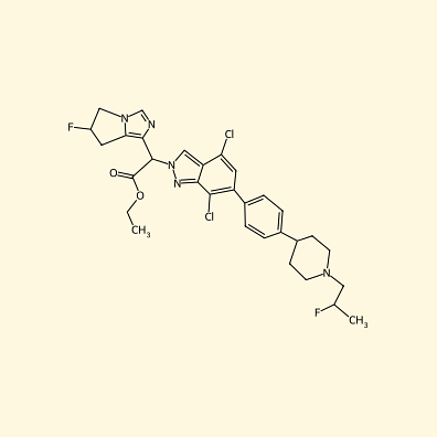 CCOC(=O)C(c1ncn2c1CC(F)C2)n1cc2c(Cl)cc(-c3ccc(C4CCN(CC(C)F)CC4)cc3)c(Cl)c2n1